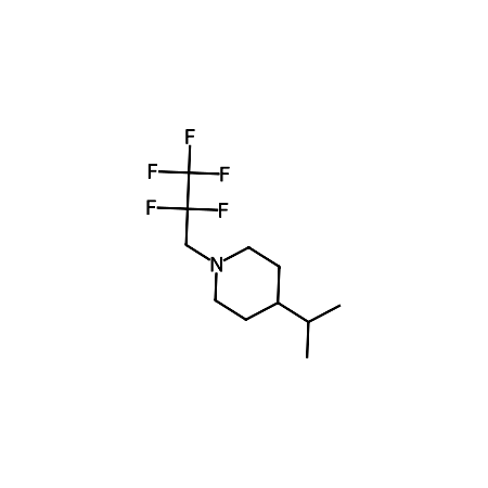 CC(C)C1CCN(CC(F)(F)C(F)(F)F)CC1